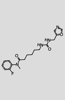 CN(C(=O)CCCCCNC(=O)NCc1cnco1)c1ccccc1F